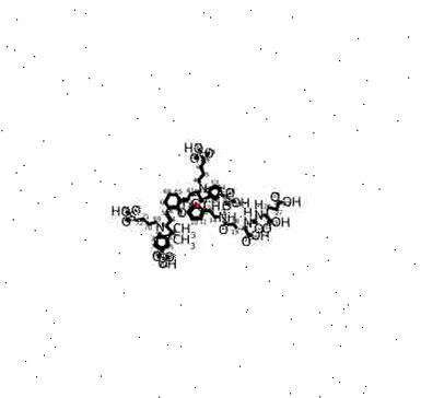 CC1(C)C(/C=C/C2=C(Oc3ccc(CCNC(=O)CC[C@H](NC(=O)N[C@@H](CCC(=O)O)C(=O)O)C(=O)O)cc3)C(=C/C=C3/N(CCCCS(=O)(=O)O)c4ccc(S(=O)(=O)O)cc4C3(C)C)/CCC2)=[N+](CCCCS(=O)(=O)O)c2ccc(S(=O)(=O)O)cc21